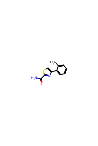 NC(=O)c1nc(-c2ccccc2[N+](=O)[O-])cs1